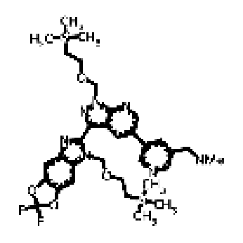 CNCc1cncc(-c2cnc3c(c2)c(-c2nc4cc5c(cc4n2COCC[Si](C)(C)C)OC(F)(F)O5)nn3COCC[Si](C)(C)C)c1